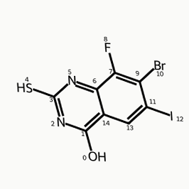 Oc1nc(S)nc2c(F)c(Br)c(I)cc12